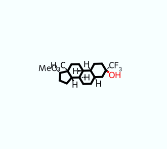 CO[C@H]1CC[C@H]2[C@@H]3CC[C@@H]4C[C@@](O)(C(F)(F)F)CC[C@@H]4[C@H]3CC[C@]12C